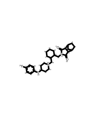 O=C1C2C3CCC(C3)C2C(=O)N1CC1CCCCC1CN1CCC(Sc2ccc(F)cc2)CC1